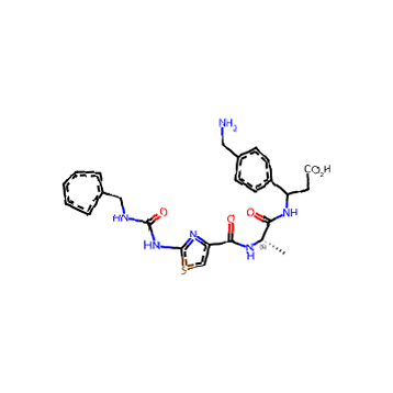 C[C@H](NC(=O)c1csc(NC(=O)NCc2ccccc2)n1)C(=O)NC(CC(=O)O)c1ccc(CN)cc1